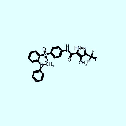 Cc1c(C(F)(F)F)n[nH]c1C(=O)Nc1ccc(S(=O)(=O)c2ccccc2N(C)c2ccccc2)cc1